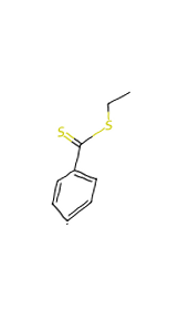 CCSC(=S)c1cc[c]cc1